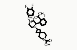 CC(C)c1ccccc1C1CN(Cc2ccc(F)c(F)c2)CCN1C1CC2(CCN(C(=O)O)CC2)C1